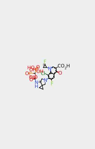 O=C(N[C@@H]1CN(c2c(F)cc3c(=O)c(C(=O)O)cn(C4C[C@@H]4F)c3c2Cl)CC12CC2)OC(P(=O)(O)O)P(=O)(O)O